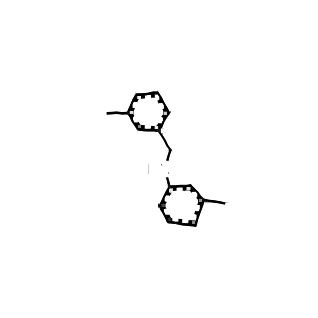 Cc1cccc(NCc2cccc(F)c2)c1